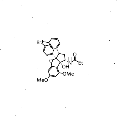 CCC(=O)N[C@H]1C[C@@H](c2cccc(F)c2)[C@]2(c3ccc(Br)cc3)Oc3cc(OC)cc(OC)c3[C@]12O